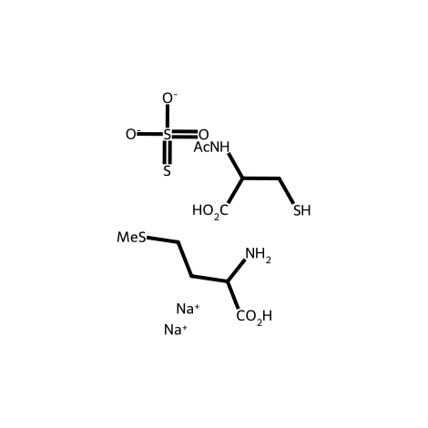 CC(=O)NC(CS)C(=O)O.CSCCC(N)C(=O)O.O=S([O-])([O-])=S.[Na+].[Na+]